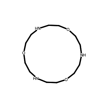 C1COCCNCCOCCNCCOCCN1